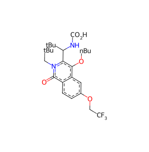 CCCCOc1c(C(NC(=O)O)C(C)(C)C)n(CC(C)(C)C)c(=O)c2ccc(OCC(F)(F)F)cc12